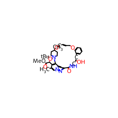 COC(=O)[C@@H](OC(C)(C)C)c1c(C)cn2nc3cc2c1N1CCC(C)(CC1)OC/C=C/COc1ccccc1CC(O)CNC3=O